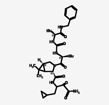 CC(C)(C)[C@H](NC(=O)N[C@H](C(=O)N1C[C@H]2C([C@H]1C(=O)NC(CC1CC1)C(=O)C(N)=O)C2(C)C)C(C)(C)C)C(=O)NCc1ccccc1